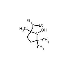 CCP(CC)C1(C)CCC(C)(C)N1O